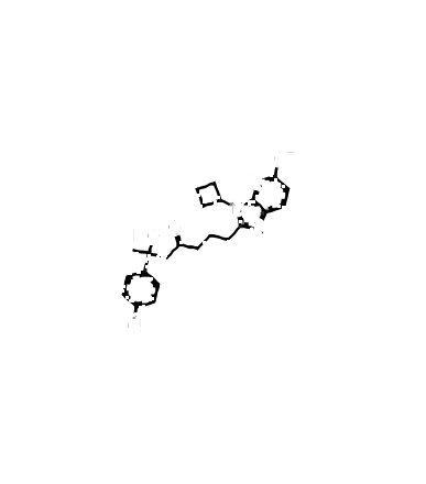 CC(O)(CC(=O)CCCc1nc2ccc(C(F)(F)F)nc2n1C1CCC1)c1ccc(Cl)cc1